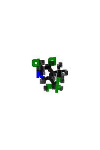 CC(C)(C)c1c(C(F)(F)F)cnc(Cl)c1Cl